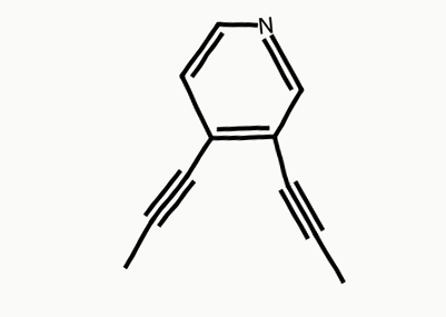 CC#Cc1ccncc1C#CC